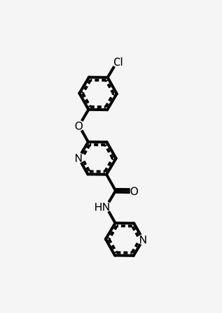 O=C(Nc1cccnc1)c1ccc(Oc2ccc(Cl)cc2)nc1